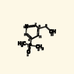 CP(C)(=O)c1cncc(CO)c1